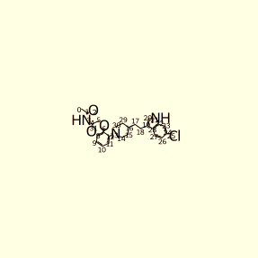 CC(=O)NC1COc2c(cccc2N2CCC(CCc3c[nH]c4cc(Cl)ccc34)CC2)O1